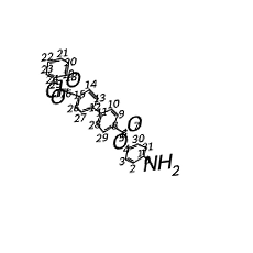 Nc1ccc(OC(=O)c2ccc(-c3ccc(C(=O)Oc4ccccc4Cl)cc3)cc2)cc1